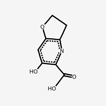 O=C(O)c1nc2c(cc1O)OCC2